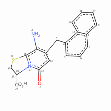 Nc1c(Cc2cccc3ccccc23)cc(=O)n2c1SC[C@H]2C(=O)O